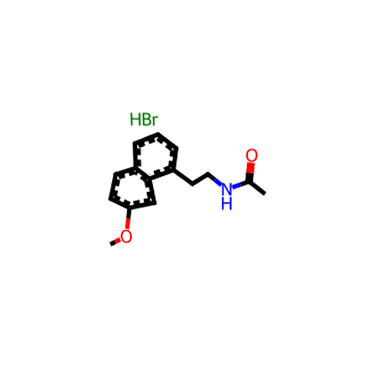 Br.COc1ccc2cccc(CCNC(C)=O)c2c1